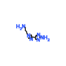 NCCCCn1cnc(-c2cnc(N)nc2)c1